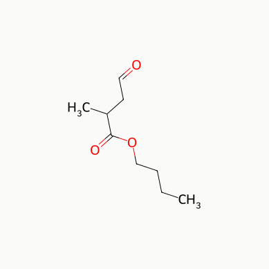 CCCCOC(=O)C(C)CC=O